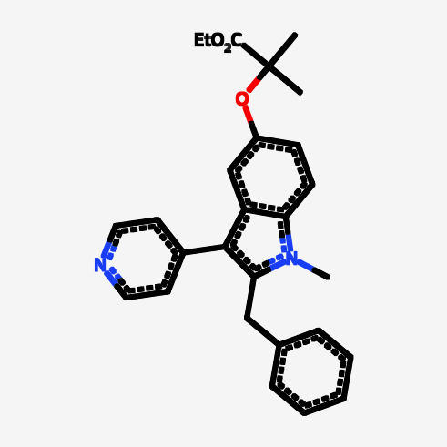 CCOC(=O)C(C)(C)Oc1ccc2c(c1)c(-c1ccncc1)c(Cc1ccccc1)n2C